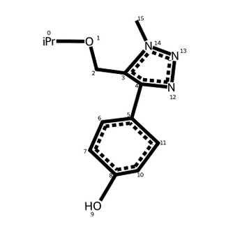 CC(C)OCc1c(-c2ccc(O)cc2)nnn1C